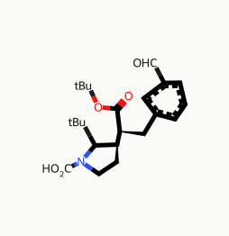 CC(C)(C)OC(=O)[C@@H](Cc1cccc(C=O)c1)[C@H]1CCN(C(=O)O)C1C(C)(C)C